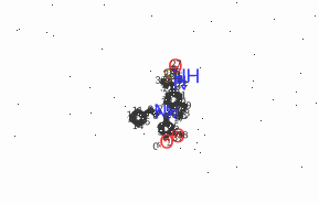 COc1ccc(C(=NCCc2ccccc2)N2CCCc3cc(C4=NNC(=O)SC4(C)C)ccc32)cc1OC